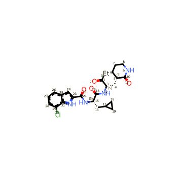 CCC(=O)[C@H](C[C@@H]1CCCNC1=O)NC(=O)[C@H](CC1CC1)NC(=O)c1cc2cccc(Cl)c2[nH]1